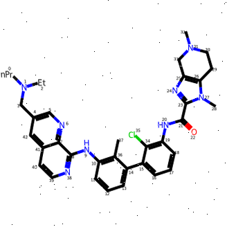 CCCN(CC)Cc1cnc2c(Nc3cccc(-c4cccc(NC(=O)c5nc6c(n5C)CCN(C)C6)c4Cl)c3C)nccc2c1